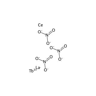 O=[N+]([O-])[O-].O=[N+]([O-])[O-].O=[N+]([O-])[O-].[Ce].[La].[Tb+3]